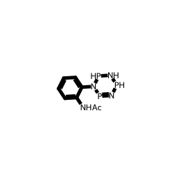 CC(=O)Nc1ccccc1-n1pn[pH][nH][pH]1